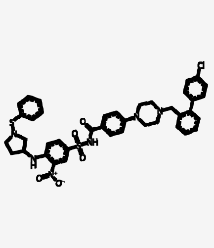 O=C(NS(=O)(=O)c1ccc(NC2CCN(Sc3ccccc3)C2)c([N+](=O)[O-])c1)c1ccc(N2CCN(Cc3ccccc3-c3ccc(Cl)cc3)CC2)cc1